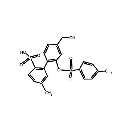 Cc1ccc(S(=O)(=O)Oc2cc(CO)ccc2-c2cc(C)ccc2S(=O)(=O)O)cc1